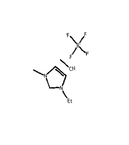 CC#N.CCN1C=CN(C)C1.F[B-](F)(F)F